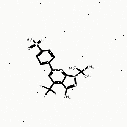 Cc1nn(C(C)(C)C)c2nc(-c3ccc(S(C)(=O)=O)cc3)cc(C(F)(F)F)c12